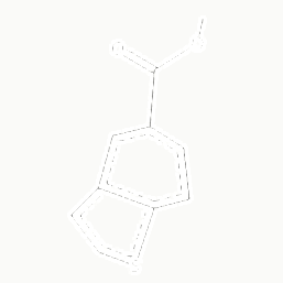 COC(=O)c1ccc2sccc2c1